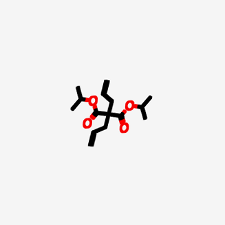 C=CCC(CC=C)(C(=O)OC(C)C)C(=O)OC(C)C